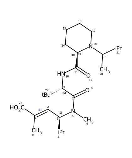 C/C(=C\[C@H](C(C)C)N(C)C(=O)[C@@H](NC(=O)[C@H]1CCCCN1C(C)C(C)C)C(C)(C)C)C(=O)O